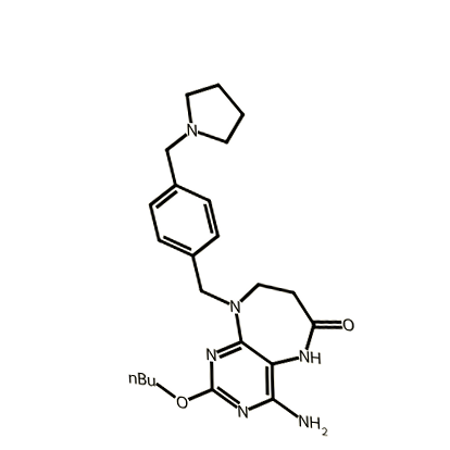 CCCCOc1nc(N)c2c(n1)N(Cc1ccc(CN3CCCC3)cc1)CCC(=O)N2